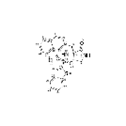 O=C1NCC[C@]1(Cc1ccc2nccc(Cl)c2c1)NS(=O)(=O)c1cc2ccccc2s1